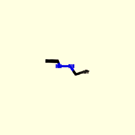 C=CNNCCCC